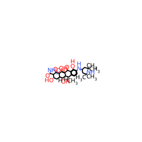 C[C@H]1c2ccc(NC3CC(C)(C)NC(C)(C)C3)c(O)c2C(=O)C2=C(O)[C@]3(O)C(=O)C(C(N)=O)C(O)C[C@@H]3[C@@H](O)[C@@H]21